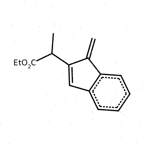 C=C1C(C(C)C(=O)OCC)=Cc2ccccc21